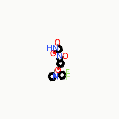 O=C1CCC(N2Cc3cc(OC[C@H]4CCCCN4C4CCC(F)(F)CC4)ccc3C2=O)C(=O)N1